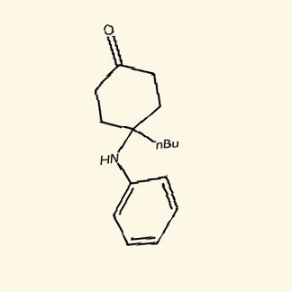 CCCCC1(Nc2ccccc2)CCC(=O)CC1